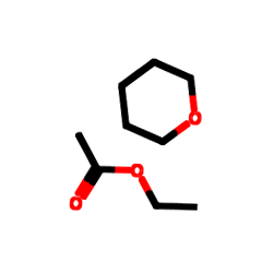 C1CCOCC1.CCOC(C)=O